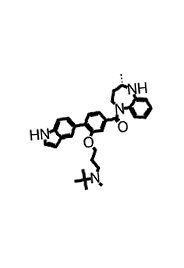 C[C@H]1CCN(C(=O)c2ccc(-c3ccc4[nH]ccc4c3)c(OCCCN(C)C(C)(C)C)c2)c2ccccc2N1